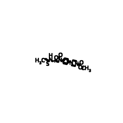 CCC(=S)NC[C@H]1CN(c2ccc(N3CCN(C(=O)OC)CC3)cc2)C(=O)O1